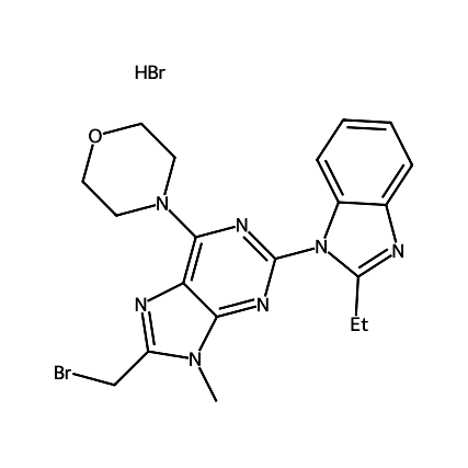 Br.CCc1nc2ccccc2n1-c1nc(N2CCOCC2)c2nc(CBr)n(C)c2n1